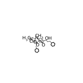 CN(C)CCN(C)C1=C(C(=O)OCc2ccccc2)N2C(=O)C(C(O)CCc3ccccc3)C2C1